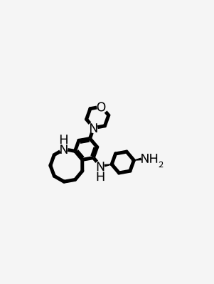 N[C@H]1CC[C@@H](Nc2cc(N3CCOCC3)cc3c2CCCCCCN3)CC1